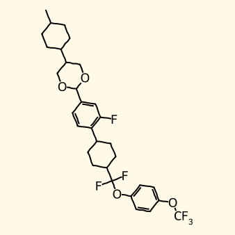 CC1CCC(C2COC(c3ccc(C4CCC(C(F)(F)Oc5ccc(OC(F)(F)F)cc5)CC4)c(F)c3)OC2)CC1